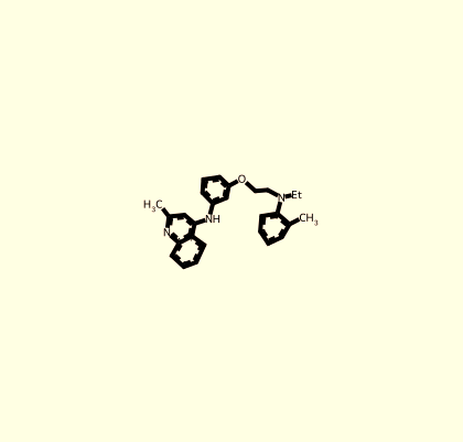 CCN(CCOc1cccc(Nc2cc(C)nc3ccccc23)c1)c1ccccc1C